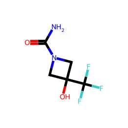 NC(=O)N1CC(O)(C(F)(F)F)C1